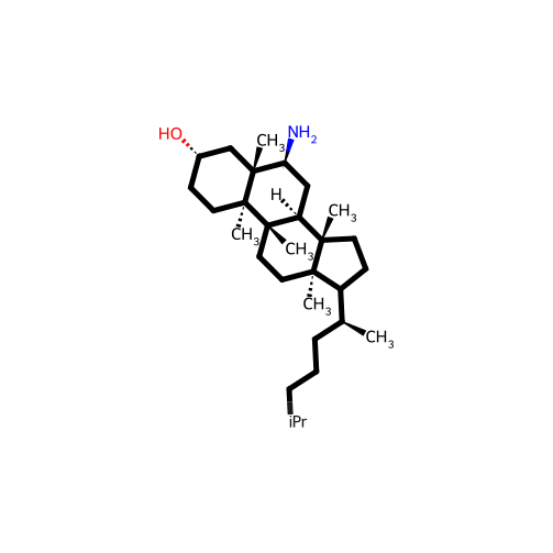 CC(C)CCC[C@H](C)C1CC[C@@]2(C)[C@@H]3C[C@H](N)[C@@]4(C)C[C@@H](O)CC[C@]4(C)[C@@]3(C)CC[C@]12C